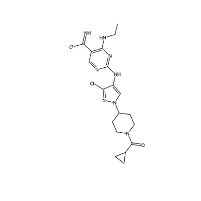 CCNc1nc(Nc2cn(C3CCN(C(=O)C4CC4)CC3)nc2Cl)ncc1C(=N)Cl